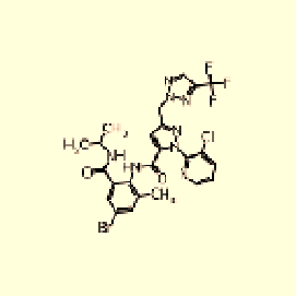 Cc1cc(Br)cc(C(=O)NC(C)C)c1NC(=O)c1cc(Cn2ncc(C(F)(F)F)n2)nn1-c1ncccc1Cl